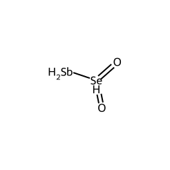 O=[SeH](=O)[SbH2]